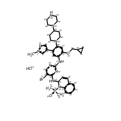 Cl.Cn1cc(-c2cc(Nc3ncc(Br)c(NC4C=Cc5ccccc5N4P(C)(C)=O)n3)c(OCC3CC3)cc2N2CCC(N3CCNCC3)CC2)cn1